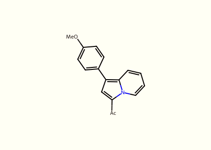 COc1ccc(-c2cc(C(C)=O)n3ccccc23)cc1